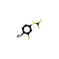 CC(C)c1ccc(SC(F)F)cc1F